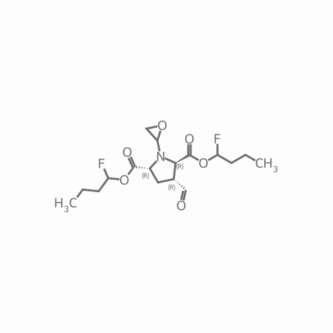 CCCC(F)OC(=O)[C@H]1C[C@@H](C=O)[C@H](C(=O)OC(F)CCC)N1C1CO1